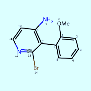 COc1ccccc1-c1c(N)ccnc1Br